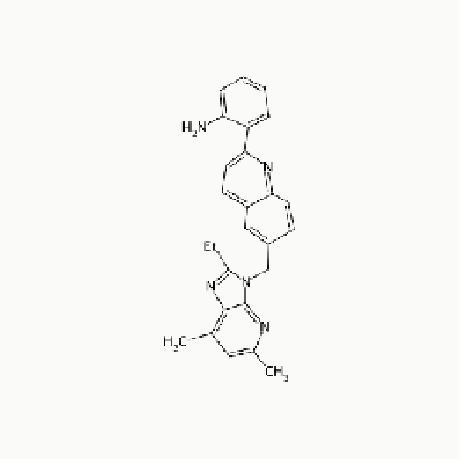 CCc1nc2c(C)cc(C)nc2n1Cc1ccc2nc(-c3ccccc3N)ccc2c1